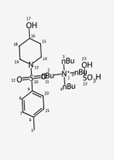 CCCC[N+](CCCC)(CCCC)CCCC.Cc1ccc(S(=O)(=O)N2CCC(O)CC2)cc1.O=S(=O)(O)O